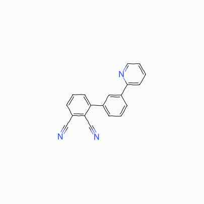 N#Cc1cccc(-c2cccc(-c3ccccn3)c2)c1C#N